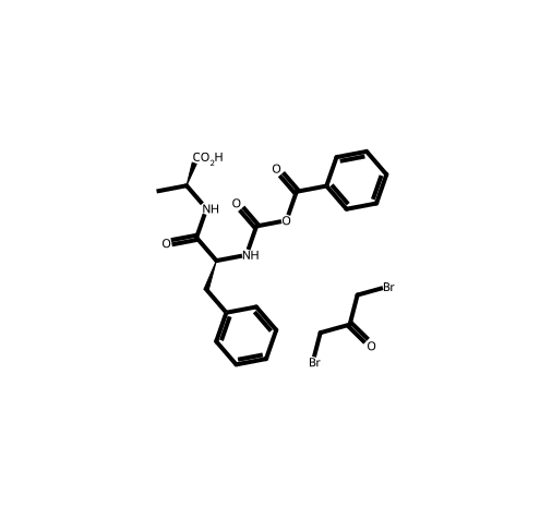 C[C@H](NC(=O)[C@H](Cc1ccccc1)NC(=O)OC(=O)c1ccccc1)C(=O)O.O=C(CBr)CBr